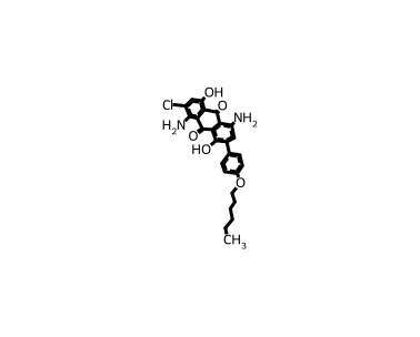 CCCCCCOc1ccc(-c2cc(N)c3c(c2O)C(=O)c2c(N)c(Cl)cc(O)c2C3=O)cc1